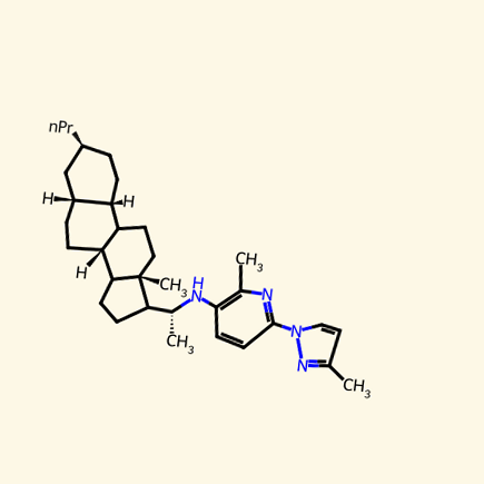 CCC[C@H]1CC[C@@H]2C3CC[C@@]4(C)C(CCC4[C@@H](C)Nc4ccc(-n5ccc(C)n5)nc4C)[C@@H]3CC[C@@H]2C1